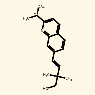 CC(=O)O[C@H](C)c1ccc2ccc(/C=C/C(C)(C)CO)cc2n1